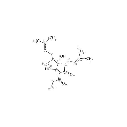 CC(C)=CCC(O)[C@]1(O)C(O)=C(C(=O)CC(C)C)C(=O)[C@H]1CC=C(C)C